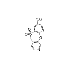 CC(C)(C)c1cnc2c(c1)S(=O)(=O)Cc1ccncc1O2